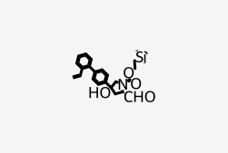 C=Cc1ccccc1-c1ccc([C@]2(O)C[C@@H](C=O)N(C(=O)OCC[Si](C)(C)C)C2)cc1